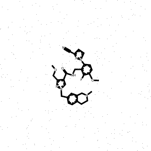 COCc1nn(Cc2ccc3c(c2)CN(C)CC3)cc1C(=O)NCc1c(-n2ccc(C#N)n2)ccc(OC)c1F